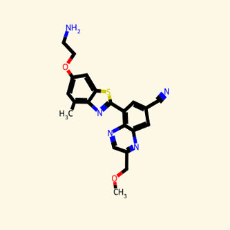 COCc1cnc2c(-c3nc4c(C)cc(OCCN)cc4s3)cc(C#N)cc2n1